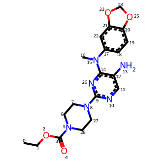 CCOC(=O)N1CCN(c2ncc(N)c(N(C)c3ccc4c(c3)OCO4)n2)CC1